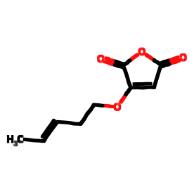 CC=CCCOC1=CC(=O)OC1=O